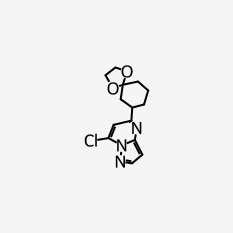 Clc1cc(C2CCCC3(C2)OCCO3)nc2ccnn12